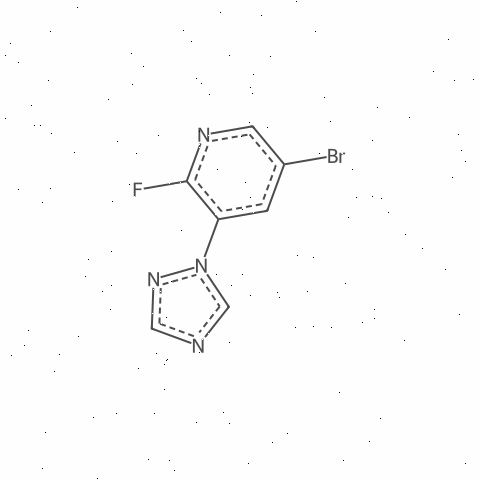 Fc1ncc(Br)cc1-n1cncn1